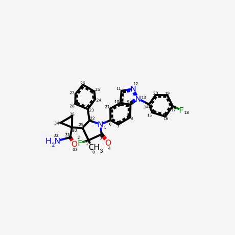 CC1(F)C(=O)N(c2ccc3c(cnn3-c3ccc(F)cc3)c2)C(c2ccccc2)C1C1(C(N)=O)CC1